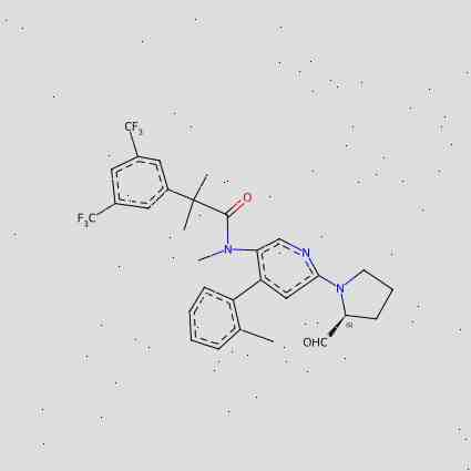 Cc1ccccc1-c1cc(N2CCC[C@H]2C=O)ncc1N(C)C(=O)C(C)(C)c1cc(C(F)(F)F)cc(C(F)(F)F)c1